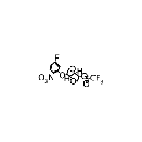 O=[N+]([O-])c1ccc(F)cc1O[C@@H]1CO[C@H]2[C@@H]1OC[C@@H]2OS(=O)C(F)(F)F